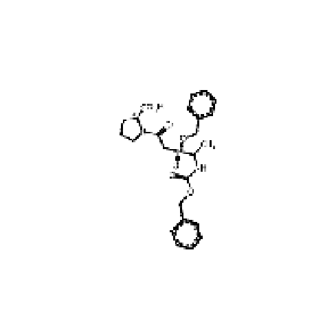 CC(NC(=O)OCc1ccccc1)P(=O)(CC(=O)N1CCC[C@H]1C(=O)O)OCc1ccccc1